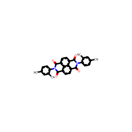 N#Cc1ccc(N2C(=O)c3ccc4c5c(ccc(c35)C2=O)C(=O)N(c2ccc(C#N)cc2C#N)C4=O)c(C#N)c1